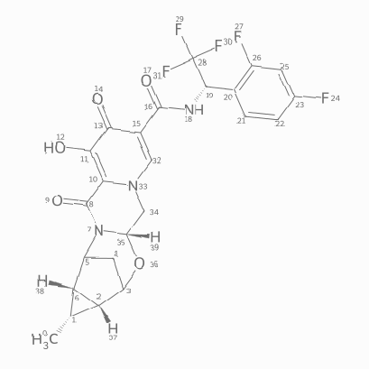 C[C@H]1[C@H]2C3CC([C@@H]12)N1C(=O)c2c(O)c(=O)c(C(=O)N[C@@H](c4ccc(F)cc4F)C(F)(F)F)cn2C[C@@H]1O3